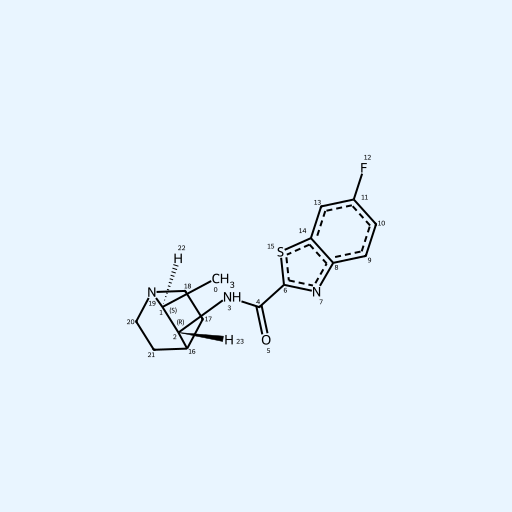 C[C@H]1[C@H](NC(=O)c2nc3ccc(F)cc3s2)C2CCN1CC2